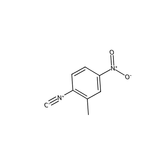 [C-]#[N+]c1ccc([N+](=O)[O-])cc1C